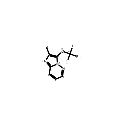 Cc1nc2cccnn2c1OC(F)(F)F